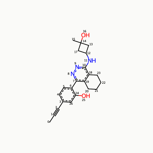 CC#Cc1ccc(-c2nnc(NC3CC(C)(O)C3)c3c2CCCC3)c(O)c1